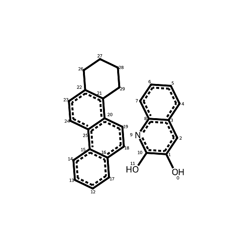 Oc1cc2ccccc2nc1O.c1ccc2c(c1)ccc1c3c(ccc12)CCCC3